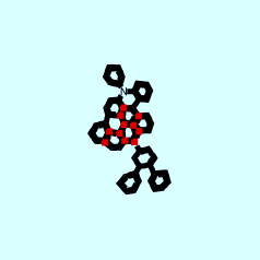 C1=C(c2ccccc2)C(c2ccccc2)CC(N(c2ccccc2)c2ccccc2-c2ccc(-c3ccccc3N(c3ccccc3)c3ccc(-c4ccccc4)c(-c4ccccc4)c3)cc2)=C1